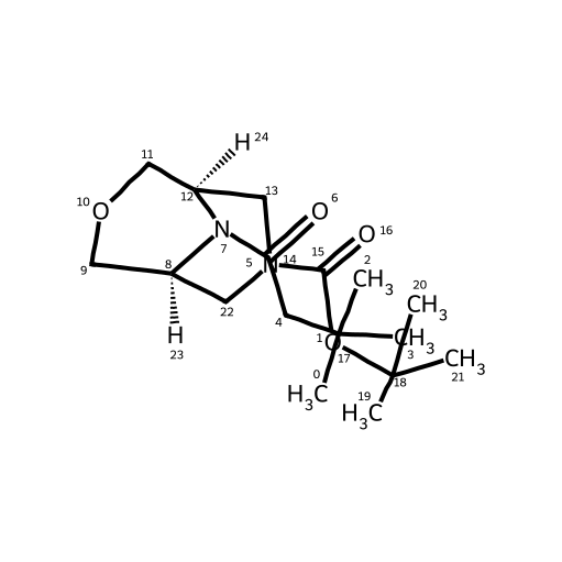 CC(C)(C)CC(=O)N1[C@@H]2COC[C@H]1CN(C(=O)OC(C)(C)C)C2